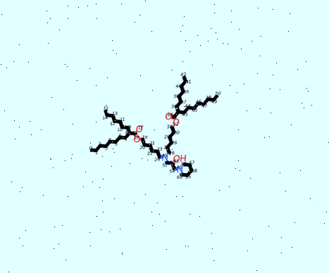 CCCCCCCCC(CCCCCCC)C(=O)OCCCCCCN(CCCCCCOC(=O)C(CCCCCCC)CCCCCCCC)CC(O)CN1CCCCC1